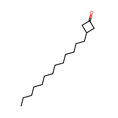 CCCCCCCCCCCCCC1CC(=O)C1